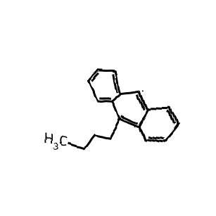 CCCCc1c2ccccc2[c]c2ccccc12